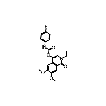 CCn1cc(OC(=O)Nc2ccc(F)cc2)c2cc(OC)c(OC)cc2c1=O